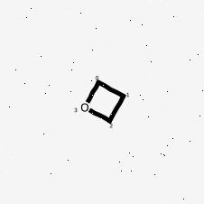 [CH]1CCO1